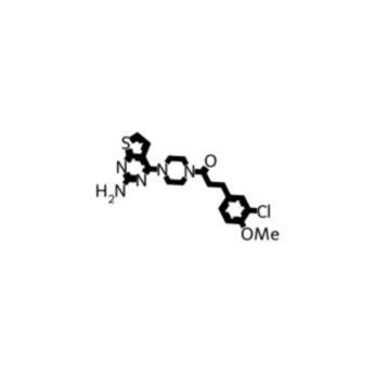 COc1ccc(CCC(=O)N2CCN(c3nc(N)nc4sccc34)CC2)cc1Cl